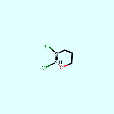 Cl[SiH]1CCCO[SiH]1Cl